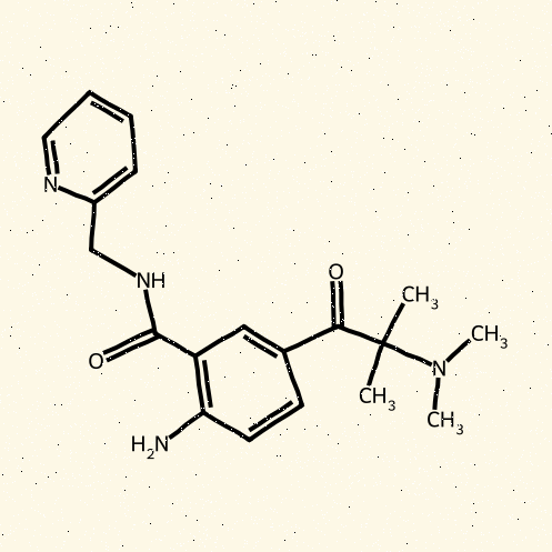 CN(C)C(C)(C)C(=O)c1ccc(N)c(C(=O)NCc2ccccn2)c1